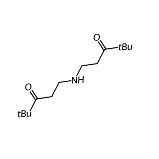 CC(C)(C)C(=O)CCNCCC(=O)C(C)(C)C